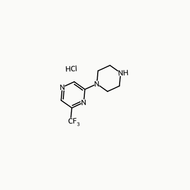 Cl.FC(F)(F)c1cncc(N2CCNCC2)n1